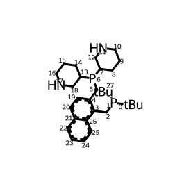 CC(C)(C)P(Cc1c(CP(C2CCCNC2)C2CCCNC2)ccc2ccccc12)C(C)(C)C